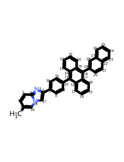 Cc1ccc2nc(-c3ccc(-c4c5ccccc5c(-c5ccc6ccccc6c5)c5ccccc45)cc3)cn2c1